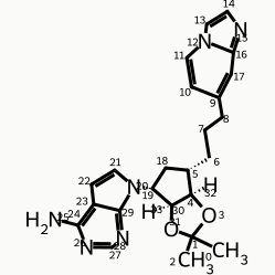 CC1(C)O[C@@H]2[C@@H](CCCc3ccn4ccnc4c3)C[C@@H](n3ccc4c(N)ncnc43)[C@@H]2O1